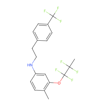 Cc1ccc(NCCc2ccc(C(F)(F)F)cc2)cc1OC(F)(F)C(C)(F)F